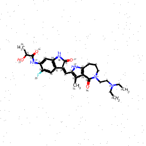 CCN(CC)CCN1CCCc2[nH]c(C=C3C(=O)Nc4cc(NC(=O)C(C)O)c(F)cc43)c(C)c2C1=O